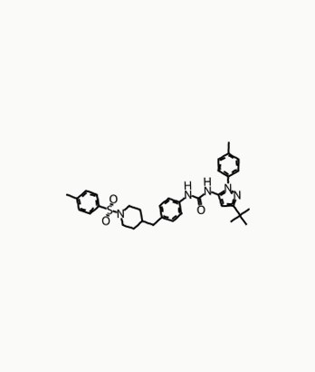 Cc1ccc(-n2nc(C(C)(C)C)cc2NC(=O)Nc2ccc(CC3CCN(S(=O)(=O)c4ccc(C)cc4)CC3)cc2)cc1